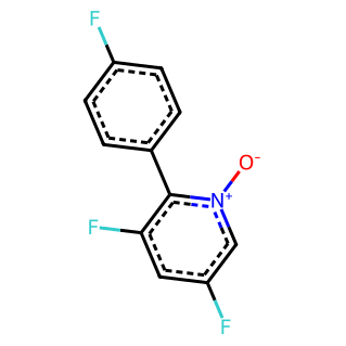 [O-][n+]1cc(F)cc(F)c1-c1ccc(F)cc1